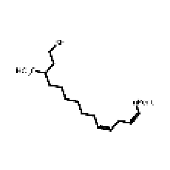 CCCCC/C=C\C/C=C\CCCCCCC(CCS)C(=O)O